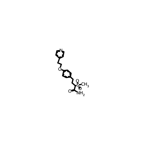 CS(=O)(=O)C(CCc1ccc(OCCc2ccncc2)cc1)C(N)=O